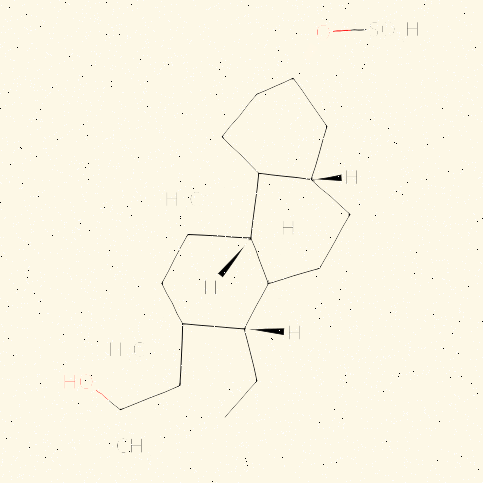 C[C@H](O)[C@H]1CC[C@H]2[C@@H]3CC[C@H]4C[C@@H](OS(=O)(=O)O)CC[C@]4(C)[C@H]3CC[C@]12C